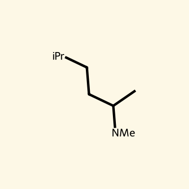 CNC(C)CCC(C)C